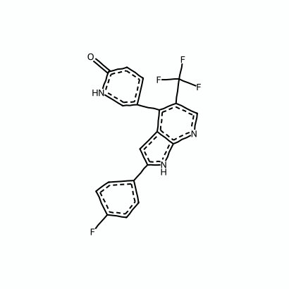 O=c1ccc(-c2c(C(F)(F)F)cnc3[nH]c(-c4ccc(F)cc4)cc23)c[nH]1